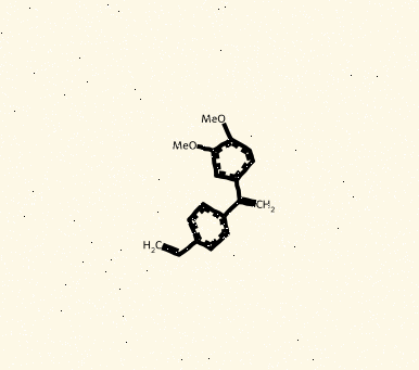 C=Cc1ccc(C(=C)c2ccc(OC)c(OC)c2)cc1